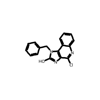 Oc1nc2c(Cl)nc3ccccc3c2n1Cc1ccccc1